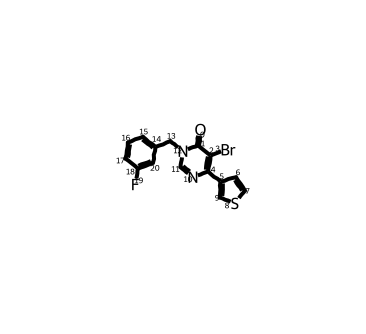 O=c1c(Br)c(-c2ccsc2)ncn1Cc1cccc(F)c1